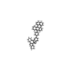 C1=Cc2sc3c4ccccc4c4c5cc(-c6ccc(-c7c8ccccc8c(-c8cccc9ccccc89)c8ccccc78)cc6)ccc5oc4c3c2CC1